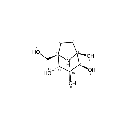 OC[C@@]12CC[C@@](O)(N1)[C@@H](O)[C@@H](O)[C@@H]2O